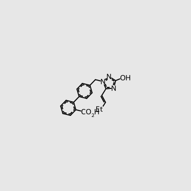 CCC=Cc1nc(O)nn1Cc1ccc(-c2ccccc2C(=O)O)cc1